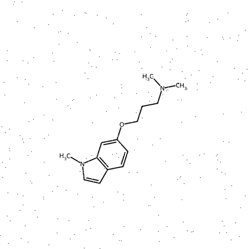 CN(C)CCCOc1ccc2ccn(C)c2c1